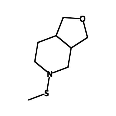 CSN1CCC2COCC2C1